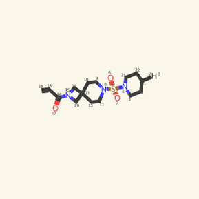 [2H]C1CCN(S(=O)(=O)N2CCC3(CC2)CN(C(=O)C=C)C3)CC1